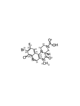 CN1C(=O)[C@H]2CN(C(=O)O)CCN2c2c1cnc1c(Cl)c(Br)c(F)cc21